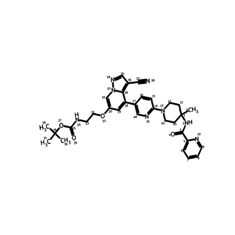 CC1(NC(=O)c2ccccn2)CCN(c2ccc(-c3cc(OCCNC(=O)OC(C)(C)C)cn4ncc(C#N)c34)cn2)CC1